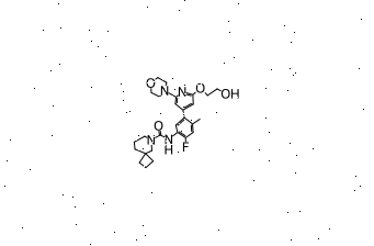 Cc1cc(F)c(NC(=O)N2CCCC3(CCC3)C2)cc1-c1cc(OCCO)nc(N2CCOCC2)c1